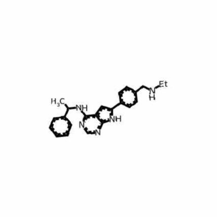 CCNCc1ccc(-c2cc3c(NC(C)c4ccccc4)ncnc3[nH]2)cc1